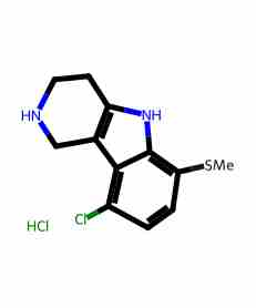 CSc1ccc(Cl)c2c3c([nH]c12)CCNC3.Cl